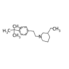 CCC1CCCN(CCc2ccc(C(C)(C)C)cc2)C1